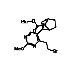 COc1ncc(C2=CC3CCC2N3C(=O)OC(C)(C)C)c(CCBr)n1